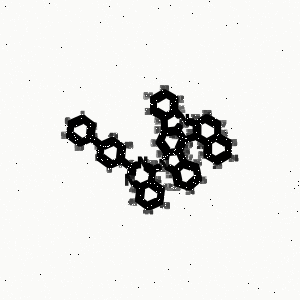 c1ccc(-c2ccc(-c3nc(-n4c5ccccc5c5c6c7c8ccccc8ccc7n7c8ccccc8c(cc54)c67)c4ccccc4n3)cc2)cc1